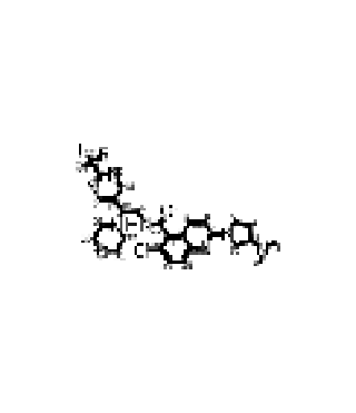 CN(C)C1CCN(c2ccc3c(C(=O)NCC(c4cnc(C(F)(F)F)nc4)N4CCOCC4)c(Cl)ccc3n2)C1